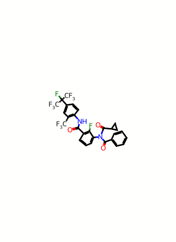 O=C(Nc1ccc(C(F)(C(F)(F)F)C(F)(F)F)cc1C(F)(F)F)c1cccc(N(C(=O)c2ccccc2)C(=O)C2CC2)c1F